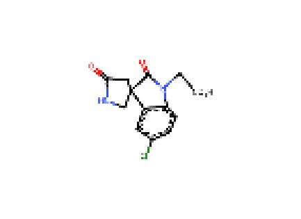 O=C(O)CN1C(=O)C2(CNC(=O)C2)c2cc(Cl)ccc21